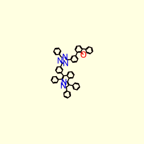 c1ccc(-c2nc(-c3cccc(-c4c(-c5ccccc5)n5nc(-c6ccccc6)c(-c6ccccc6)c5c5ccccc45)c3)nc(-c3cccc(-c4cccc5c4oc4ccccc45)c3)n2)cc1